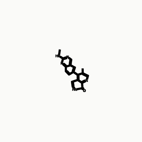 CNc1ncc2cc(-c3c(C)cnc4c(=O)[nH]ccc34)ccc2n1